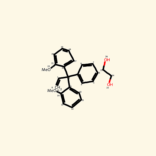 C=CC(c1ccccc1)(c1ccccc1OC)c1ccccc1OC.OCCO